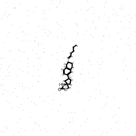 CCCC/C=C/[C@@H]1CCc2cc(C3CCC4(COC(=O)N4)C3)ccc2C1